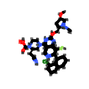 CO[C@@H]1C[C@@H](COc2nc(N3CCN(C(=O)O)[C@@H](CC#N)C3)c3cnc(-c4cccc5cccc(Cl)c45)c(F)c3n2)N(C)C1